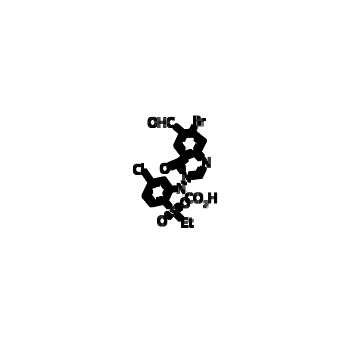 CCS(=O)(=O)c1ccc(Cl)cc1N(C(=O)O)n1cnc2cc(Br)c(C=O)cc2c1=O